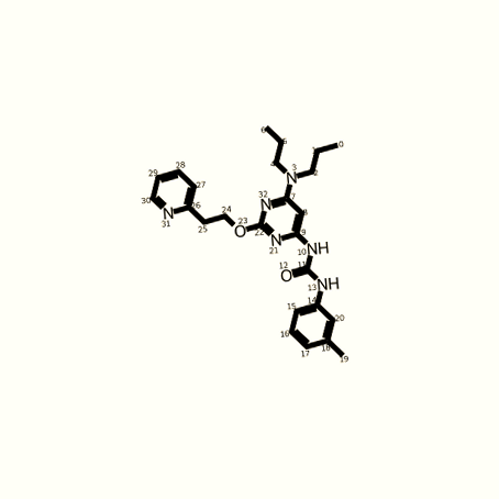 CCCN(CCC)c1cc(NC(=O)Nc2cccc(C)c2)nc(OCCc2ccccn2)n1